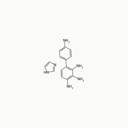 Nc1ccc(-c2ccc(N)c(N)c2N)cc1.c1c[nH]cn1